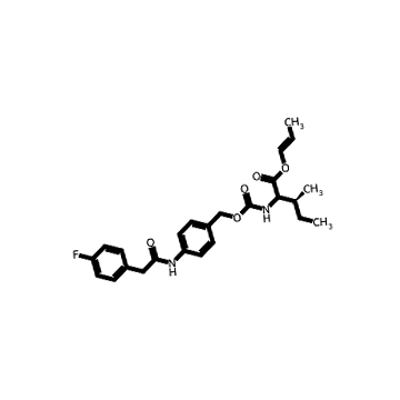 C/C=C/OC(=O)C(NC(=O)OCc1ccc(NC(=O)Cc2ccc(F)cc2)cc1)[C@@H](C)CC